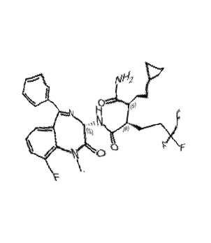 [CH2]N1C(=O)[C@@H](NC(=O)[C@H](CCC(F)(F)F)[C@H](CC2CC2)C(N)=O)N=C(c2ccccc2)c2cccc(F)c21